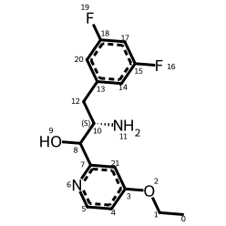 CCOc1ccnc(C(O)[C@@H](N)Cc2cc(F)cc(F)c2)c1